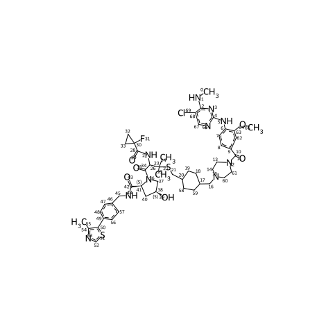 CNc1nc(Nc2ccc(C(=O)N3CCN(CC4CCC(CSC(C)(C)C(NC(=O)C5(F)CC5)C(=O)N5C[C@@H](O)C[C@H]5C(=O)NCc5ccc(-c6scnc6C)cc5)CC4)CC3)cc2OC)ncc1Cl